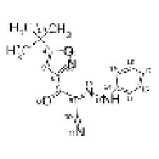 CC(C)(C)c1cc(C(=O)/C(C#N)=N/Nc2ccccc2)no1